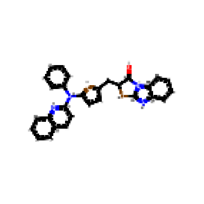 O=C1C(Cc2ccc(N(c3ccccc3)c3ccc4ccccc4n3)s2)Sc2nc3ccccc3n21